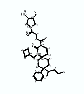 CCCC(C)[C@]1(c2ccccc2)CC[C@@]2(CCC(C(C)CCC(=O)N3C[C@@H](O)[C@@H](C)C3)C(=O)N2CC2CCC2)CC1